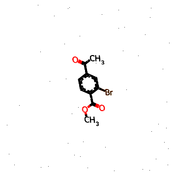 COC(=O)c1ccc(C(C)=O)cc1Br